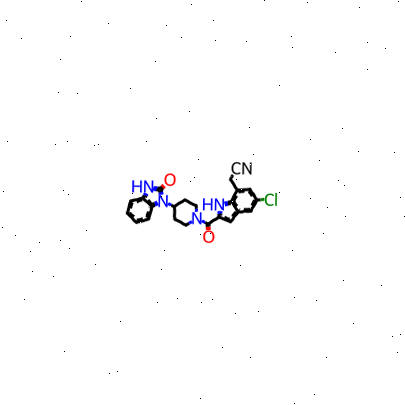 N#CCc1cc(Cl)cc2cc(C(=O)N3CCC(n4c(=O)[nH]c5ccccc54)CC3)[nH]c12